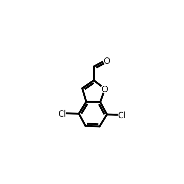 O=Cc1cc2c(Cl)ccc(Cl)c2o1